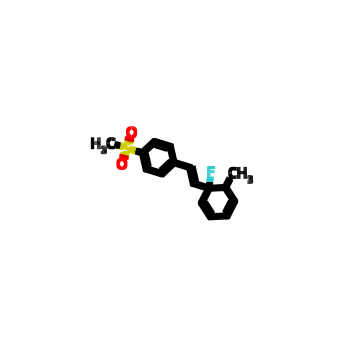 CC1C=CC=CC1(F)/C=C/c1ccc(S(C)(=O)=O)cc1